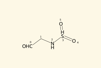 O=CCN[SH](=O)=O